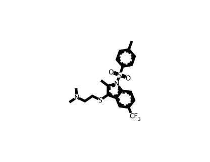 Cc1ccc(S(=O)(=O)n2c(C)c(SCCN(C)C)c3cc(C(F)(F)F)ccc32)cc1